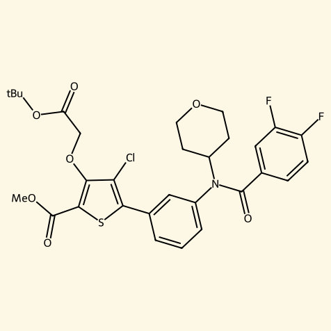 COC(=O)c1sc(-c2cccc(N(C(=O)c3ccc(F)c(F)c3)C3CCOCC3)c2)c(Cl)c1OCC(=O)OC(C)(C)C